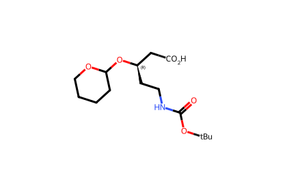 CC(C)(C)OC(=O)NCC[C@H](CC(=O)O)OC1CCCCO1